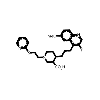 COc1ccc2ncc(F)c(CCCC3CCN(CCSc4ccccn4)CC3C(=O)O)c2c1